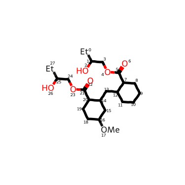 CCC(O)COC(=O)C1CCCCC1CC1CC(OC)CCC1C(=O)OCC(O)CC